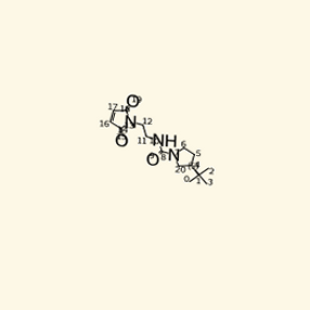 CC(C)(C)[C@@H]1CCN(C(=O)NCCN2C(=O)C=CC2=O)C1